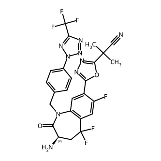 CC(C)(C#N)c1nnc(-c2cc3c(cc2F)C(F)(F)C[C@@H](N)C(=O)N3Cc2ccc(-n3nnc(C(F)(F)F)n3)cc2)o1